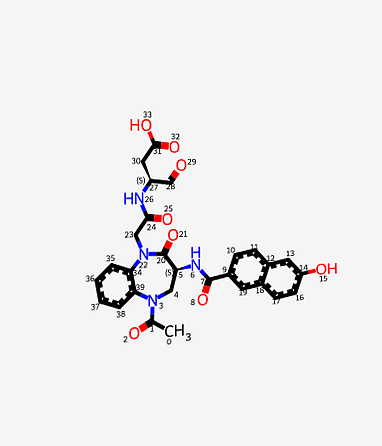 CC(=O)N1C[C@H](NC(=O)c2ccc3cc(O)ccc3c2)C(=O)N(CC(=O)N[C@H](C=O)CC(=O)O)c2ccccc21